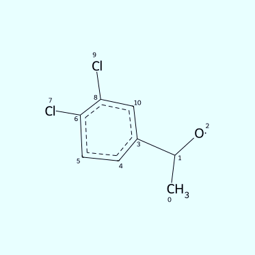 CC([O])c1ccc(Cl)c(Cl)c1